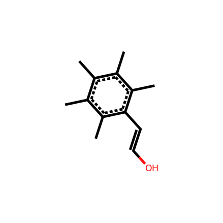 Cc1c(C)c(C)c(/C=C/O)c(C)c1C